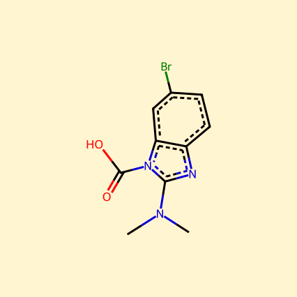 CN(C)c1nc2ccc(Br)cc2n1C(=O)O